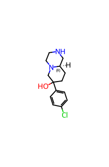 OC1(c2ccc(Cl)cc2)CC[C@@H]2CNCCN2C1